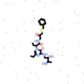 CCc1cn(C(CC)C(=O)NCC(=O)CSCc2ccccc2)c(=O)c(NCC(=N)C(C)=N)n1